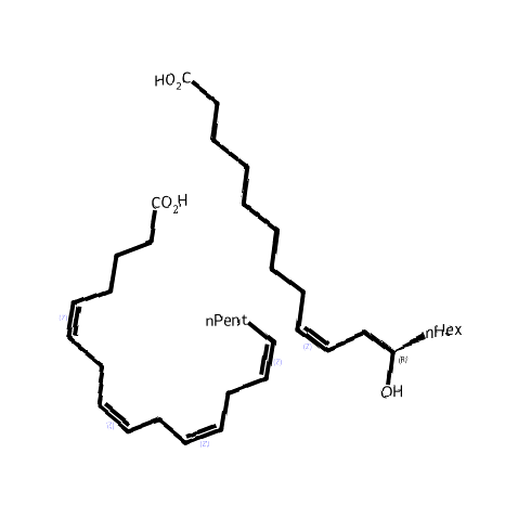 CCCCC/C=C\C/C=C\C/C=C\C/C=C\CCCC(=O)O.CCCCCC[C@@H](O)C/C=C\CCCCCCCC(=O)O